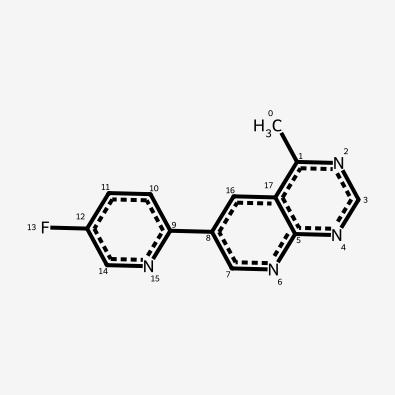 Cc1ncnc2ncc(-c3ccc(F)cn3)cc12